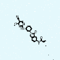 C=CC(=O)N(C)c1ccc2c(c1)C(=O)N([C@H]1CCC[C@@H](Nc3ncc(C#N)c(OC)n3)C1)C2